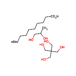 CC(O)CO.CCCCCCCCCCCCCCCCCC(=O)O.OCC(CO)(CO)CO